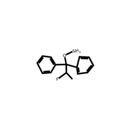 CC(F)C(O[SiH3])(c1ccccc1)c1ccccc1